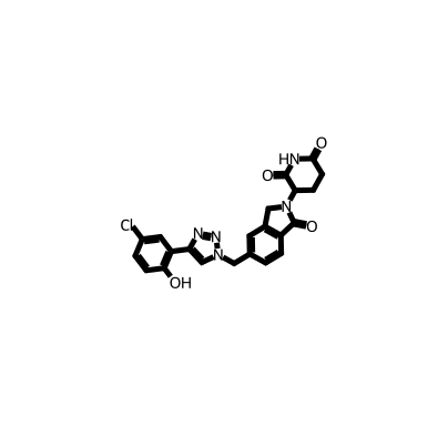 O=C1CCC(N2Cc3cc(Cn4cc(-c5cc(Cl)ccc5O)nn4)ccc3C2=O)C(=O)N1